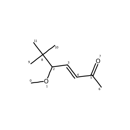 COC(/C=C/C(C)=O)C(C)(C)C